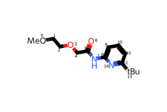 COCCOCC(=O)Nc1cccc(C(C)(C)C)n1